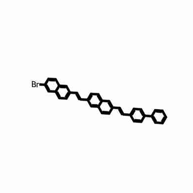 Brc1ccc2cc(/C=C/c3ccc4cc(/C=C/c5ccc(-c6ccccc6)cc5)ccc4c3)ccc2c1